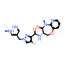 CN/C=C(\C=N)Cn1cc(F)c(C(=O)N[C@H]2COc3cccnc3N(C)C2=O)n1